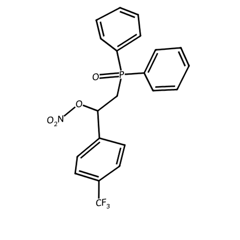 O=[N+]([O-])OC(CP(=O)(c1ccccc1)c1ccccc1)c1ccc(C(F)(F)F)cc1